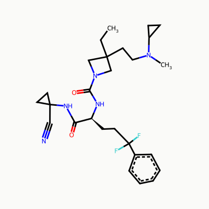 CCC1(CCN(C)C2CC2)CN(C(=O)N[C@@H](CCC(F)(F)c2ccccc2)C(=O)NC2(C#N)CC2)C1